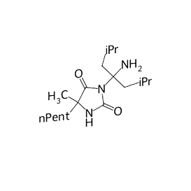 CCCCCC1(C)NC(=O)N(C(N)(CC(C)C)CC(C)C)C1=O